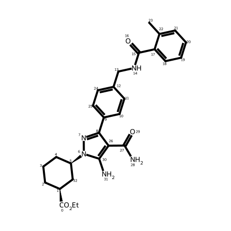 CCOC(=O)[C@H]1CCC[C@@H](n2nc(-c3ccc(CNC(=O)c4ccccc4C)cc3)c(C(N)=O)c2N)C1